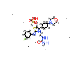 CNC(=O)NCCn1c(-c2ccc(N3CCOCC3)cc2)csc1=Nc1cccc(F)c1.CS(=O)(=O)O